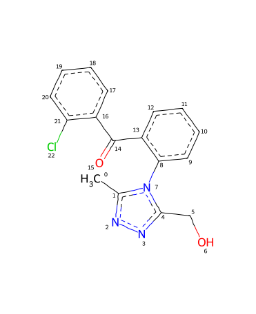 Cc1nnc(CO)n1-c1ccccc1C(=O)c1ccccc1Cl